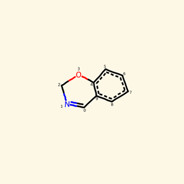 C1=NCOc2ccccc21